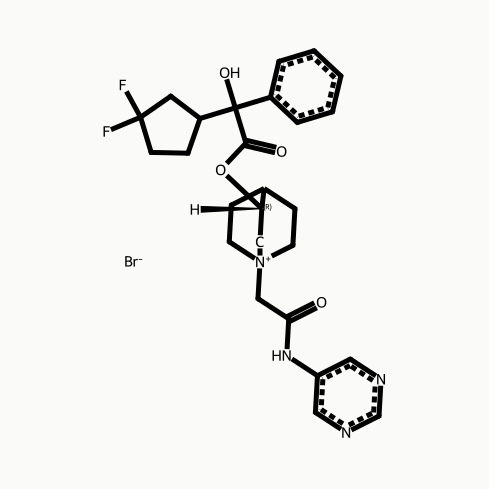 O=C(C[N+]12CCC(CC1)[C@@H](OC(=O)C(O)(c1ccccc1)C1CCC(F)(F)C1)C2)Nc1cncnc1.[Br-]